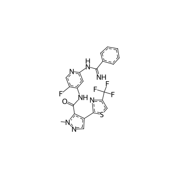 Cn1ncc(-c2nc(C(F)(F)F)cs2)c1C(=O)Nc1cc(NC(=N)c2ccccc2)ncc1F